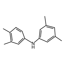 Cc1cc(C)cc(Nc2ccc(C)c(C)c2)c1